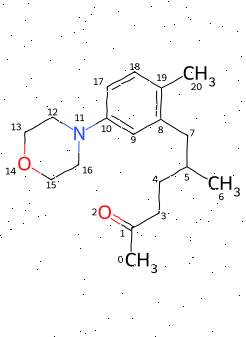 CC(=O)CCC(C)Cc1cc(N2CCOCC2)ccc1C